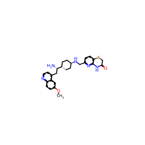 COc1ccc2nccc(C[C@H](N)[C@H]3CC[C@H](NCc4ccc5c(n4)NC(=O)CS5)CC3)c2c1